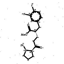 COC(=O)[C@@H](CCC(=O)[C@H]1CCCN1C(C)C)Cc1ccc(F)c(F)c1